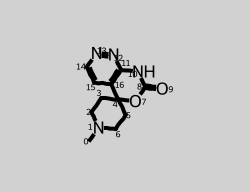 CN1CCC2(CC1)OC(=O)Nc1nnccc12